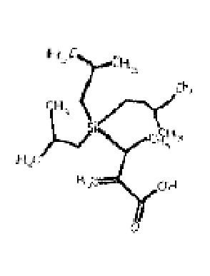 C=C(C(=O)O)C(C)[Si](CC(C)C)(CC(C)C)CC(C)C